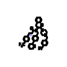 CC(C)c1ccc(CN2CCN(C(=O)[C@H](Cc3ccccc3)N(Cc3ccc(-c4ccccn4)cc3)C(=O)/C=C/c3ccc(C(F)(F)F)cc3)CC2)cc1